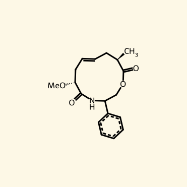 CO[C@@H]1C/C=C/C[C@@H](C)C(=O)OCC(c2ccccc2)NC1=O